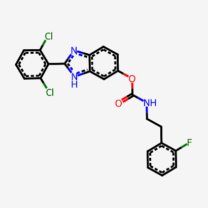 O=C(NCCc1ccccc1F)Oc1ccc2nc(-c3c(Cl)cccc3Cl)[nH]c2c1